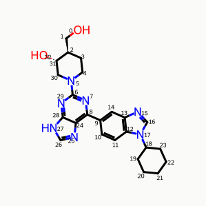 OC[C@H]1CCN(c2nc(-c3ccc4c(c3)ncn4C3CCCCC3)c3nc[nH]c3n2)C[C@@H]1O